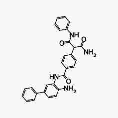 NC(=O)C(C(=O)Nc1ccccc1)c1ccc(C(=O)Nc2cc(-c3ccccc3)ccc2N)cc1